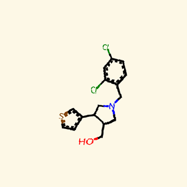 OCC1CN(Cc2ccc(Cl)cc2Cl)CC1c1ccsc1